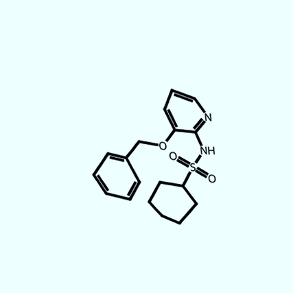 O=S(=O)(Nc1ncccc1OCc1ccccc1)C1CCCCC1